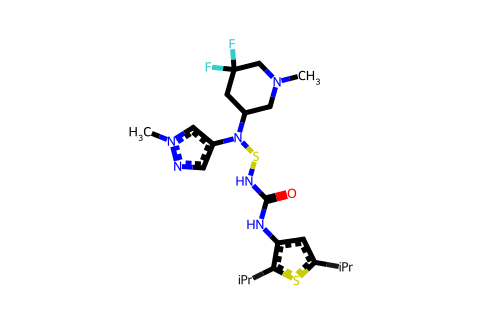 CC(C)c1cc(NC(=O)NSN(c2cnn(C)c2)C2CN(C)CC(F)(F)C2)c(C(C)C)s1